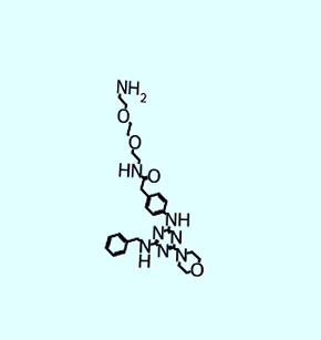 NCCOCCOCCNC(=O)Cc1ccc(Nc2nc(NCc3ccccc3)nc(N3CCOCC3)n2)cc1